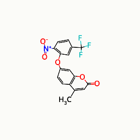 Cc1cc(=O)oc2cc(Oc3cc(C(F)(F)F)ccc3[N+](=O)[O-])ccc12